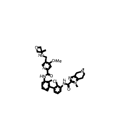 COc1cc(C(=O)Nc2cccc(-c3cccc(NC(=O)c4nc5c(n4C)CCN(C)C5)c3Cl)c2C)ncc1CNC1(C)COC1